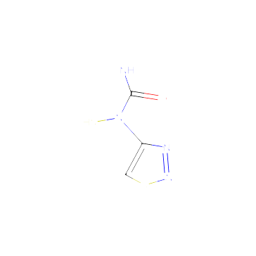 NC(=O)N(S)c1csnn1